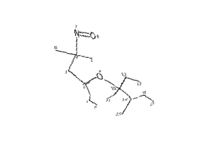 CCC(CC(C)(C)N=O)OC(C)(CC)C(C)CC